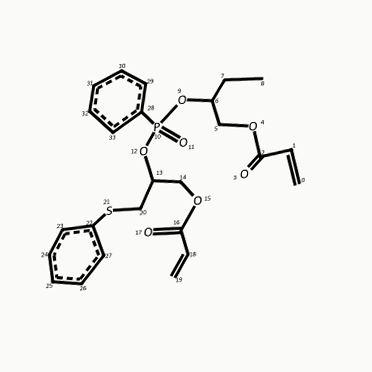 C=CC(=O)OCC(CC)OP(=O)(OC(COC(=O)C=C)CSc1ccccc1)c1ccccc1